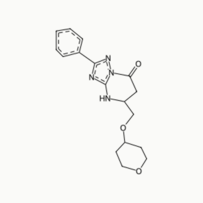 O=C1CC(COC2CCOCC2)Nc2nc(-c3ccccc3)nn21